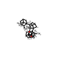 CC1CCC2CC1(C1CC3CC(C45CC(CCC4C)C5(C)C)(C3(C)C)C1(C)C13CC(CCC1C)C3(C)C)C2(C)C